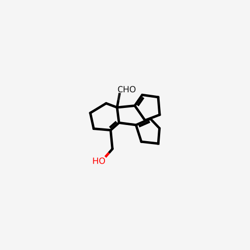 O=CC1(C2=CCCC2)CCCC(CO)=C1C1=CCCC1